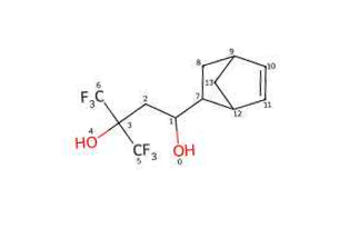 OC(CC(O)(C(F)(F)F)C(F)(F)F)C1CC2C=CC1C2